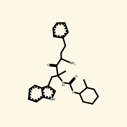 CC1CCCCC1OC(=O)NC(C)(Cc1c[nH]c2ccccc12)C(=O)[C](N)CCc1ccccc1